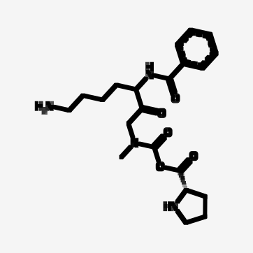 CN(CC(=O)C(CCCCN)NC(=O)c1ccccc1)C(=O)OC(=O)[C@@H]1CCCN1